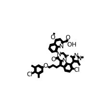 COc1cc(C(=O)O)nc2c(N3C[C@@H](C)n4c(c(CCCOc5cc(C)c(Cl)c(C)c5)c5ccc(Cl)c(-c6c(C)nn(C)c6C)c54)C3=O)cccc12